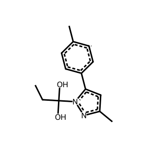 CCC(O)(O)n1nc(C)cc1-c1c[c]c(C)cc1